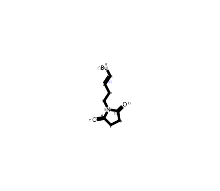 CCCC/C=C/CCN1C(=O)CCC1=O